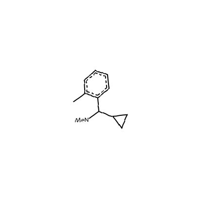 CNC(c1ccccc1C)C1CC1